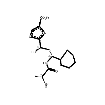 CCOC(=O)c1csc([C@H](O)C[C@@H](NC(=O)[C@@H](C)[C@H](C)CC)C2CCCCC2)n1